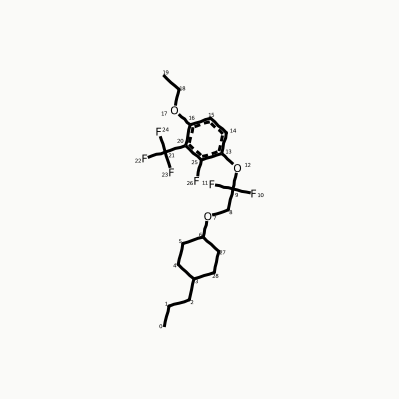 CCCC1CCC(OCC(F)(F)Oc2ccc(OCC)c(C(F)(F)F)c2F)CC1